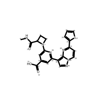 CNC(=O)C1CCN1c1cc(C(=O)O)cc(-c2cnn3ccc(-c4cccs4)nc23)n1